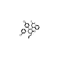 C=CC[C@@]1(C)C[C@H](c2cccc(Cl)c2)[C@@H](c2ccc(Cl)cc2)N(C(CC(F)F)c2ccccn2)C1=O